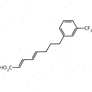 O=C(O)C=CC=CCCCc1cccc(C(F)(F)F)c1